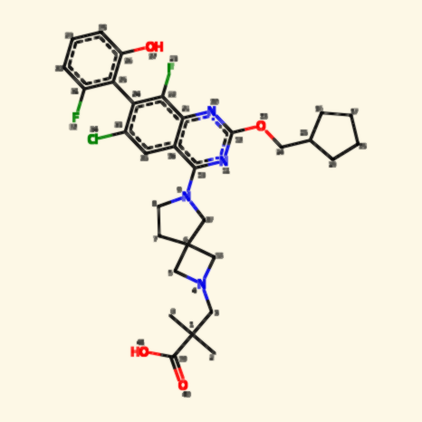 CC(C)(CN1CC2(CCN(c3nc(OCC4CCCC4)nc4c(F)c(-c5c(O)cccc5F)c(Cl)cc34)C2)C1)C(=O)O